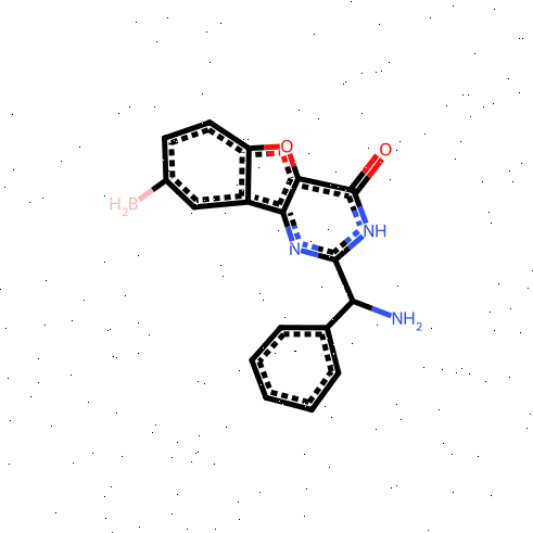 Bc1ccc2oc3c(=O)[nH]c(C(N)c4ccccc4)nc3c2c1